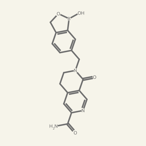 NC(=O)c1cc2c(cn1)C(=O)N(Cc1ccc3c(c1)B(O)OC3)CC2